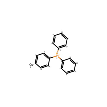 [Cu].c1ccc([PH2](c2ccccc2)c2ccccc2)cc1